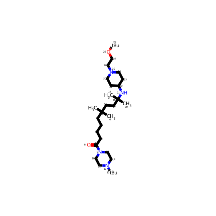 CC(C)(CCCCC(=O)N1CCN(C(C)(C)C)CC1)CCC(C)(C)NC1CCN(CCOC(C)(C)C)CC1